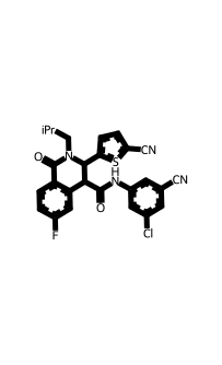 CC(C)CN1C(=O)c2ccc(F)cc2C(C(=O)Nc2cc(Cl)cc(C#N)c2)C1c1ccc(C#N)s1